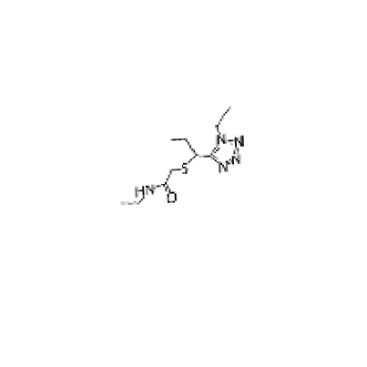 CCNC(=O)CSC(CC)c1nnnn1CC